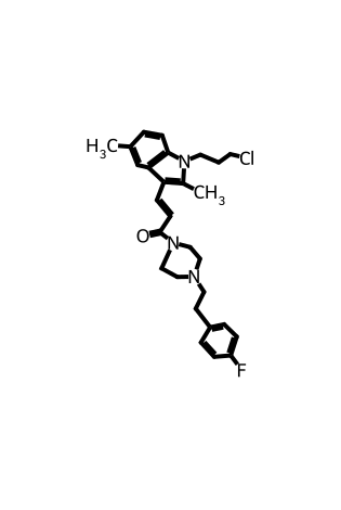 Cc1ccc2c(c1)c(/C=C/C(=O)N1CCN(CCc3ccc(F)cc3)CC1)c(C)n2CCCCl